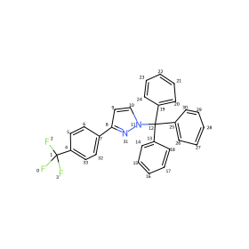 FC(F)(F)c1ccc(-c2ccn(C(c3ccccc3)(c3ccccc3)c3ccccc3)n2)cc1